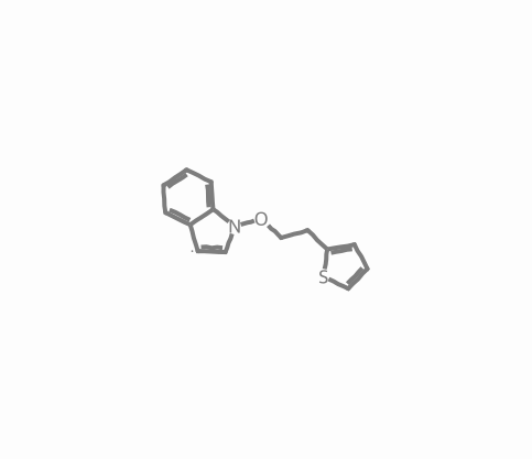 [c]1cn(OCCc2cccs2)c2ccccc12